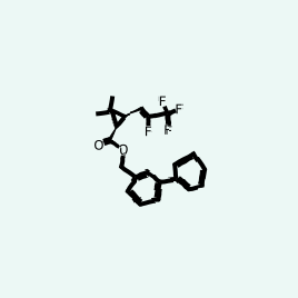 CC1(C)[C@H](C(=O)OCc2cccc(-c3ccccc3)c2)[C@@H]1C=C(F)C(F)(F)F